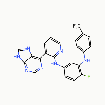 Fc1ccc(Nc2ncccc2-c2ncnc3[nH]cnc23)cc1Nc1ccc(C(F)(F)F)cc1